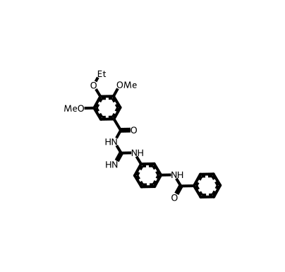 CCOc1c(OC)cc(C(=O)NC(=N)Nc2cccc(NC(=O)c3ccccc3)c2)cc1OC